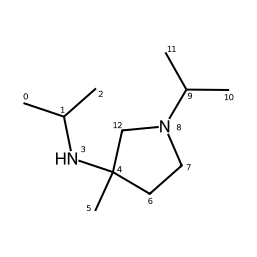 CC(C)NC1(C)CCN(C(C)C)C1